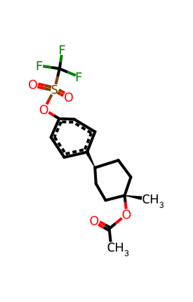 CC(=O)O[C@]1(C)CC[C@@H](c2ccc(OS(=O)(=O)C(F)(F)F)cc2)CC1